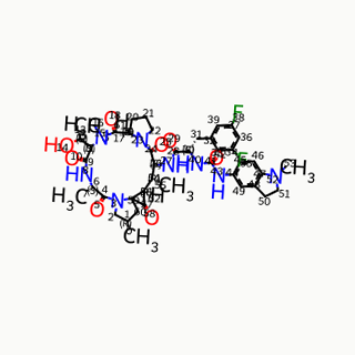 C[C@H]1CN2C(=O)[C@H](C)NC(=O)[C@H]([C@H](C)O)N(C)C(=O)[C@@H]3CCCN3C(=O)[C@@H](NC(=O)[C@H](Cc3cc(F)cc(F)c3)NC(=O)Nc3ccc4c(c3)CCN4C)[C@H](C)[C@H]3C(=O)C32C1